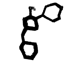 Cc1sc(Cc2ccccc2)cc1N1CCOCC1